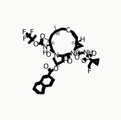 C[C@@H]1CCC=C[C@@H]2C[C@@]2(C(=O)NS(=O)(=O)C2(CF)CC2)NC(=O)[C@@H]2C[C@@H](OC(=O)c3ccc4ccccc4c3)CN2C(=O)[C@@H](NC(=O)OC(C)(C)C(F)(F)F)[C@H](C)C1